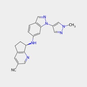 Cn1cc(-n2ncc3ccc(N[C@@H]4CCc5cc(C#N)cnc54)cc32)cn1